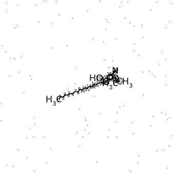 CCCCCCCCCCCCCCCCCCCC(CO)Oc1ccc(C#N)c(OC(C)C)c1